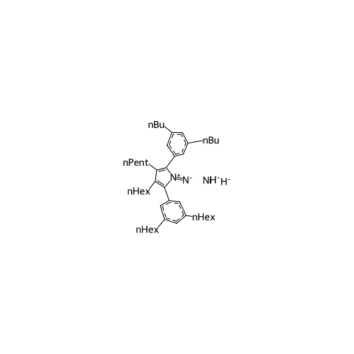 CCCCCCC1=C(c2cc(CCCCCC)cc(CCCCCC)c2)[N+](=[N-])C(c2cc(CCCC)cc(CCCC)c2)=C1CCCCC.[H-].[H-].[Ni]